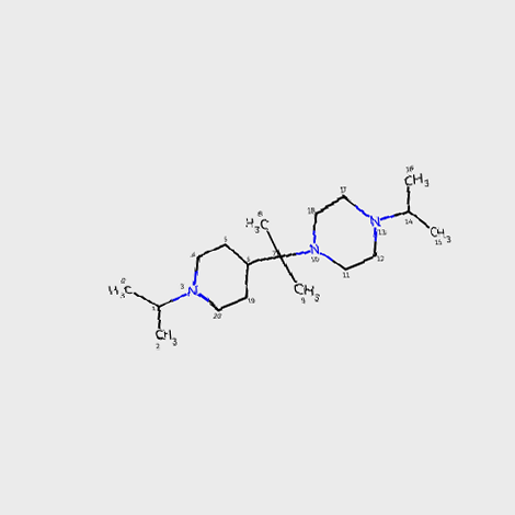 CC(C)N1CCC(C(C)(C)N2CCN(C(C)C)CC2)CC1